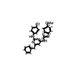 CCc1ccc(Nc2nc(Cc3ccccc3)cc(Nc3nc4ccc(OC)cc4s3)n2)cc1